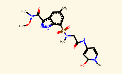 CON(C)C(=O)c1n[nH]c2c(S(=O)(=O)N(C)CC(=O)NC3=CC(O)N(C)C=C3)cc(C)cc12